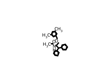 CC(=O)NC(COCc1cc(C)cc(C)c1)C(c1ccccc1)c1ccccc1